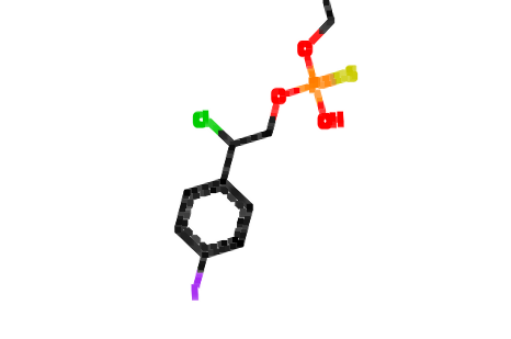 CCOP(O)(=S)OCC(Cl)c1ccc(I)cc1